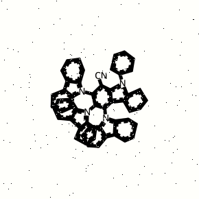 N#Cc1c(-n2c3ccccc3c3ccccc32)c(-n2c3ccccc3c3ccccc32)c(-n2c3ccccc3c3ccccc32)c2c3ccccc3n(-c3ccccc3)c12